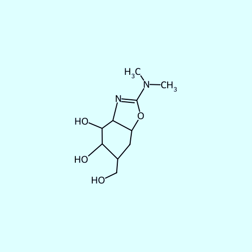 CN(C)C1=NC2C(CC(CO)C(O)C2O)O1